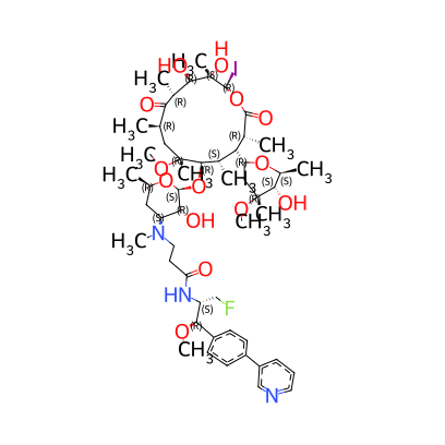 CO[C@H](c1ccc(-c2cccnc2)cc1)[C@@H](CF)NC(=O)CCN(C)[C@H]1C[C@@H](C)O[C@@H](O[C@@H]2[C@@H](C)C([C@H]3C[C@@](C)(OC)[C@@H](O)[C@H](C)O3)[C@@H](C)C(=O)O[C@H](I)[C@@](C)(O)[C@H](O)[C@@H](C)C(=O)[C@H](C)C[C@@]2(C)OC)[C@@H]1O